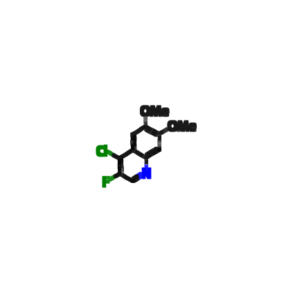 COc1cc2ncc(F)c(Cl)c2cc1OC